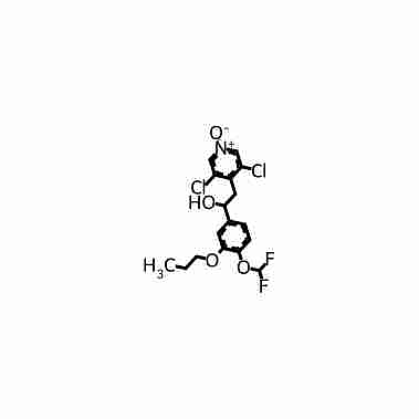 CCCOc1cc(C(O)Cc2c(Cl)c[n+]([O-])cc2Cl)ccc1OC(F)F